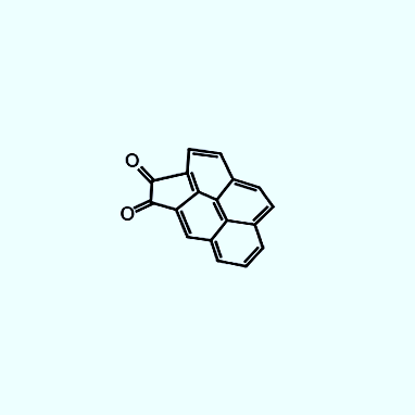 O=C1C(=O)c2cc3cccc4ccc5ccc1c2c5c43